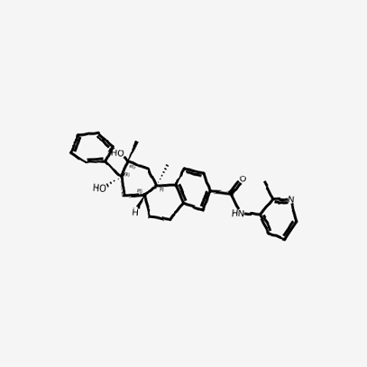 Cc1ncccc1NC(=O)c1ccc2c(c1)CC[C@@H]1C[C@@](O)(c3ccccc3)[C@](C)(O)C[C@@]21C